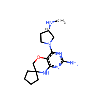 CN[C@@H]1CCN(c2nc(N)nc3c2OCC2(CCCC2)N3)C1